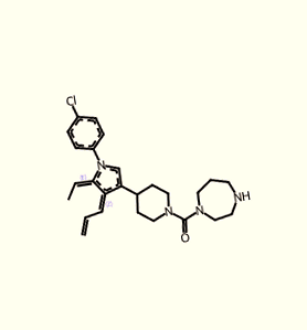 C=C/C=c1/c(C2CCN(C(=O)N3CCCNCC3)CC2)cn(-c2ccc(Cl)cc2)/c1=C/C